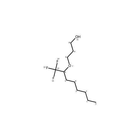 CCCCCCC(OCCCO)C(F)(F)F